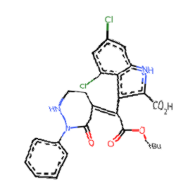 CC(C)(C)OC(=O)C(=C1CCNN(c2ccccc2)C1=O)c1c(C(=O)O)[nH]c2cc(Cl)cc(Cl)c12